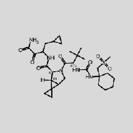 CC(C)(C)[C@H](NC(=O)NC1(CS(C)(=O)=O)CCCCC1)C(=O)N1CC2[C@@H]([C@H]1C(=O)NC(CC1CC1)C(=O)C(N)=O)C21CC1